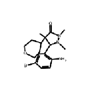 CN1C(=O)C(C)(C2CCOCC2)C(c2cc(Br)ccc2N)N1C